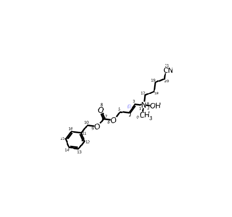 C[N+](O)(/C=C/COC(=O)OCc1ccccc1)CCCCC#N